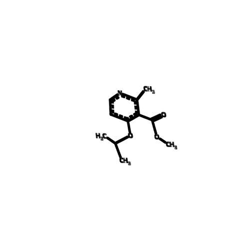 COC(=O)c1c(OC(C)C)ccnc1C